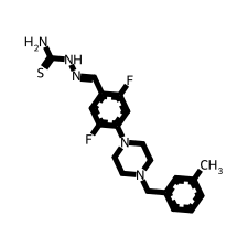 Cc1cccc(CN2CCN(c3cc(F)c(C=NNC(N)=S)cc3F)CC2)c1